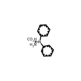 NC(=O)O.c1ccc(Nc2ccccc2)cc1